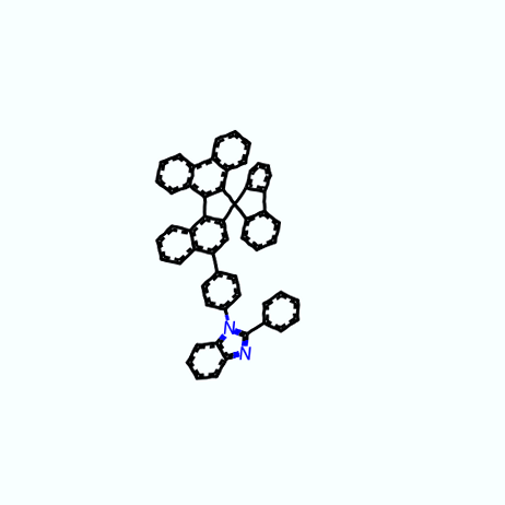 c1ccc(-c2nc3ccccc3n2-c2ccc(-c3cc4c(c5ccccc35)-c3c(c5ccccc5c5ccccc35)C43c4ccccc4-c4ccccc43)cc2)cc1